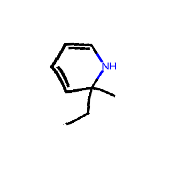 [CH2]CC1(C)C=CC=CN1